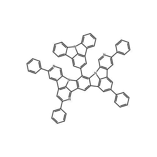 c1ccc(-c2cc3c4cc(-c5ccccc5)ncc4n4c5c(-c6cc7c8ccccc8n8c9ccccc9c(c6)c78)c6c(cc5c(c2)c34)c2nc(-c3ccccc3)cc3c4cc(-c5ccccc5)ncc4n6c32)cc1